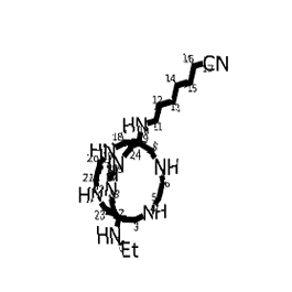 CCNC12CNCCNCC(NCCCCCCC#N)(CNCCNC1)CNCCNC2